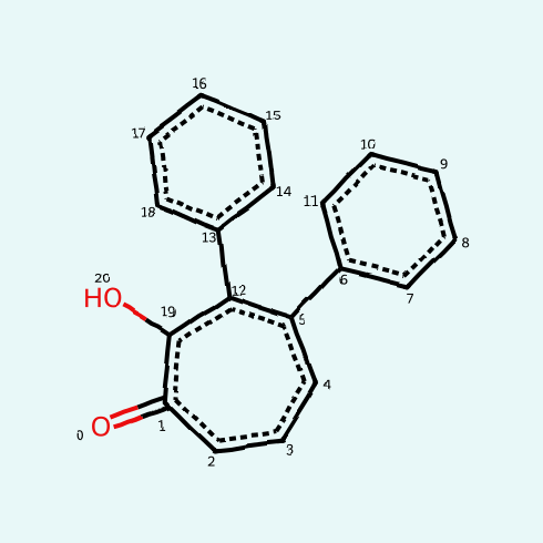 O=c1cccc(-c2ccccc2)c(-c2ccccc2)c1O